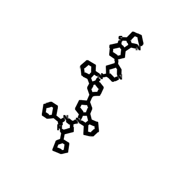 c1ccc(-c2cc(-n3c4ccccc4c4cc(-c5ccc6c(c5)c5ccccc5n6-c5cncc(-c6ccc7sc8cccnc8c7c6)c5)ccc43)nc(-c3ccccc3)n2)cc1